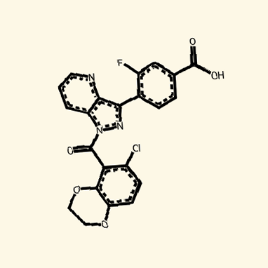 O=C(O)c1ccc(-c2nn(C(=O)c3c(Cl)ccc4c3OCCO4)c3cccnc23)c(F)c1